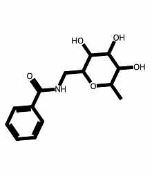 CC1OC(CNC(=O)c2ccccc2)C(O)C(O)C1O